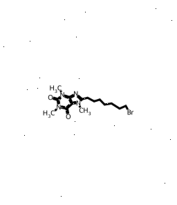 Cn1c(=O)c2c(nc(CCCCCCCBr)n2C)n(C)c1=O